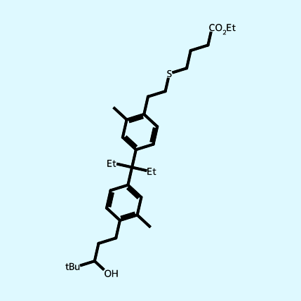 CCOC(=O)CCCSCCc1ccc(C(CC)(CC)c2ccc(CCC(O)C(C)(C)C)c(C)c2)cc1C